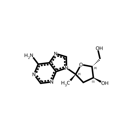 C[C@]1(n2cnc3c(N)ncnc32)C[C@H](O)[C@@H](CO)O1